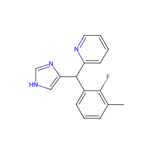 Cc1cccc(C(c2ccccn2)c2c[nH]cn2)c1F